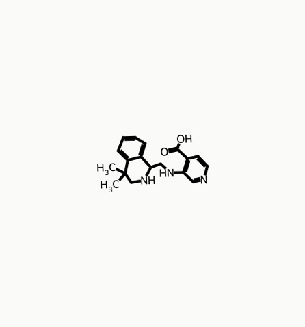 CC1(C)CNC(CNc2cnccc2C(=O)O)c2ccccc21